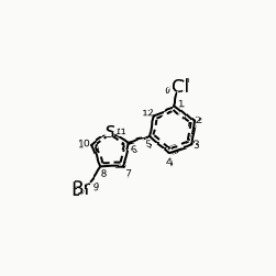 Clc1cccc(-c2cc(Br)cs2)c1